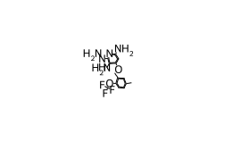 Cc1ccc(OC(F)(F)F)c(COc2cc(N)nc(NN)c2N)c1